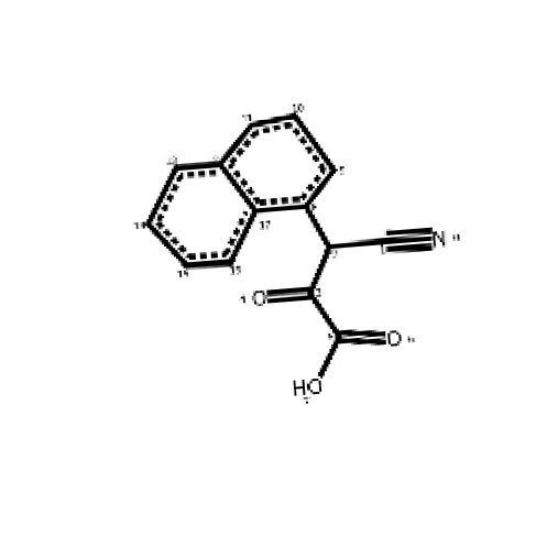 N#CC(C(=O)C(=O)O)c1cccc2ccccc12